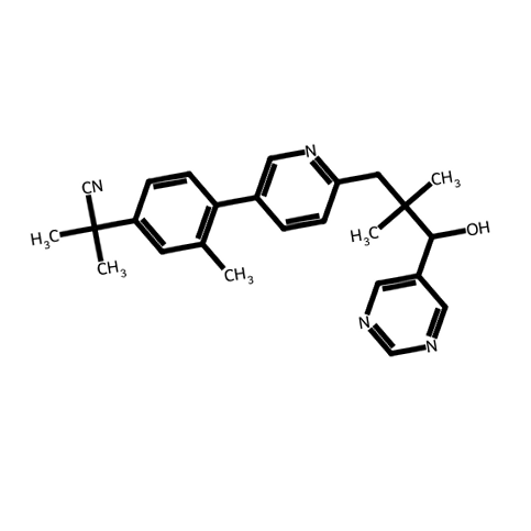 Cc1cc(C(C)(C)C#N)ccc1-c1ccc(CC(C)(C)C(O)c2cncnc2)nc1